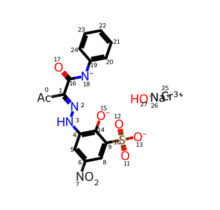 CC(=O)/C(=N\Nc1cc([N+](=O)[O-])cc(S(=O)(=O)[O-])c1[O-])C(=O)[N-]c1ccccc1.[Cr+3].[Na+].[OH-]